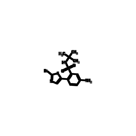 CC(C)(C)NS(=O)(=O)c1cc(N)ccc1-c1cnc(Br)s1